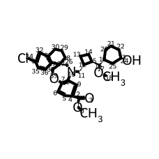 COC(=O)c1ccc2c(c1)N(C[C@@H]1CC[C@H]1C(OC)[C@@H]1CCC[C@H](O)C1)C[C@@]1(CCCc3cc(Cl)ccc31)CO2